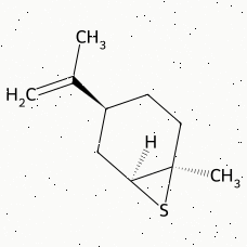 C=C(C)[C@H]1CC[C@@]2(C)S[C@H]2C1